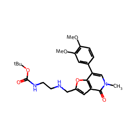 COc1ccc(-c2cn(C)c(=O)c3cc(CNCCNC(=O)OC(C)(C)C)oc23)cc1OC